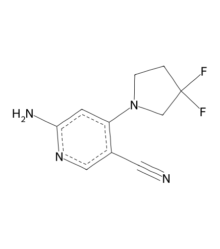 N#Cc1cnc(N)cc1N1CCC(F)(F)C1